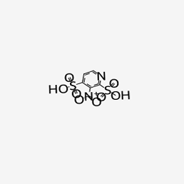 O=[N+]([O-])c1c(S(=O)(=O)O)ccnc1S(=O)(=O)O